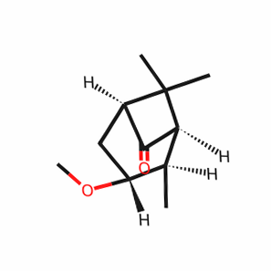 CO[C@@H]1C[C@@H]2C(=O)[C@H]([C@H]1C)C2(C)C